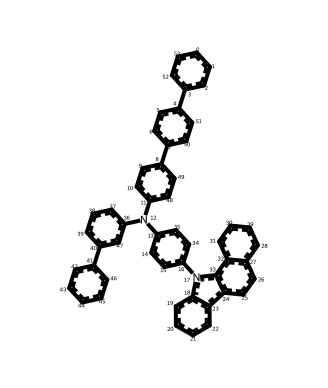 c1ccc(-c2ccc(-c3ccc(N(c4ccc(-n5c6ccccc6c6ccc7ccccc7c65)cc4)c4cccc(-c5ccccc5)c4)cc3)cc2)cc1